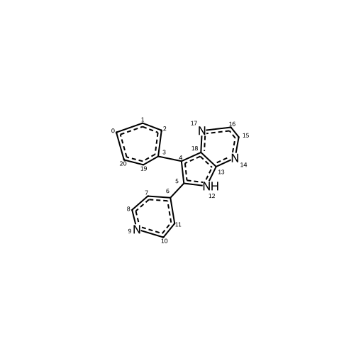 c1ccc(-c2c(-c3ccncc3)[nH]c3nccnc23)cc1